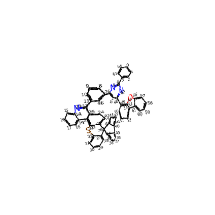 c1ccc(-c2nc(-c3cccc(-c4nc5ccccc5c5c6c(ccc45)C4(c5ccccc5S6)c5ccccc5-c5ccccc54)c3)cc(-c3cccc4c3oc3ccccc34)n2)cc1